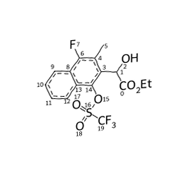 CCOC(=O)C(O)c1c(C)c(F)c2ccccc2c1OS(=O)(=O)C(F)(F)F